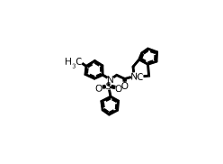 Cc1ccc(N(CC(=O)N2CCc3ccccc3C2)S(=O)(=O)c2ccccc2)cc1